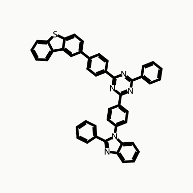 c1ccc(-c2nc(-c3ccc(-c4ccc5sc6ccccc6c5c4)cc3)nc(-c3ccc(-n4c(-c5ccccc5)nc5ccccc54)cc3)n2)cc1